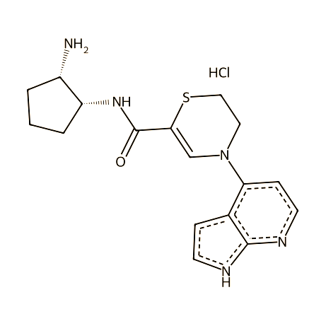 Cl.N[C@H]1CCC[C@H]1NC(=O)C1=CN(c2ccnc3[nH]ccc23)CCS1